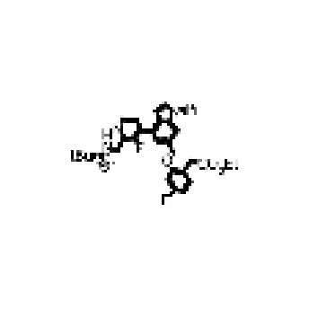 CCOC(=O)Cc1ccc(F)cc1OCc1cc(-c2ccnc(CN[S+]([O-])C(C)(C)C)c2F)c2ccn(C(C)C)c2c1